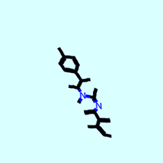 C=C(/N=C(/C)N(C)C(C)C(C)c1ccc(C)cc1)C(=C)/C(C)=C\C